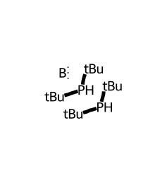 CC(C)(C)PC(C)(C)C.CC(C)(C)PC(C)(C)C.[B]